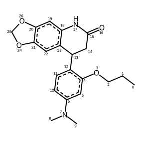 CCCOc1cc(N(C)C)ccc1C1CC(=O)Nc2cc3c(cc21)OCO3